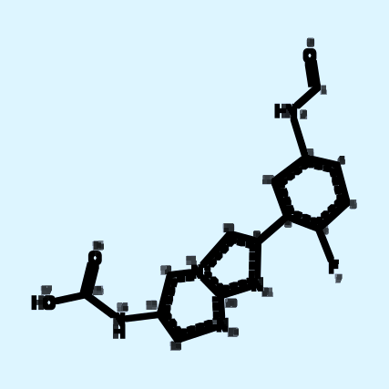 O=CNc1ccc(F)c(-c2cn3cc(NC(=O)O)cnc3n2)c1